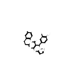 CC1=C(C(=O)N2c3ccc(F)cc3CCC2C)C(c2ccc(Cl)c(Cl)c2)n2nccc2N1